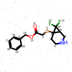 O=C(CSC12CCNCC1C2(F)F)OCc1ccccc1